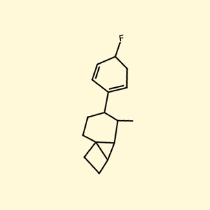 CC1C(C2=CCC(F)C=C2)CCC23CCC2C13